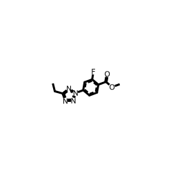 CCc1nnn(-c2ccc(C(=O)OC)c(F)c2)n1